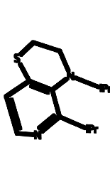 CC(C)c1nccc2c1N(C(C)C)CCS2